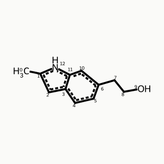 Cc1cc2ccc(CCO)cc2[nH]1